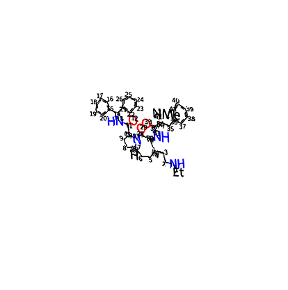 CCNCC[C@H]1CC[C@H]2CC[C@@H](C(=O)NC(c3ccccc3)c3ccccc3)N2C(=O)[C@H]1NC(=O)[C@@H](Cc1ccccc1)NC